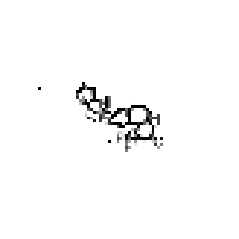 Cc1ncccc1NC(=O)c1ccc2c(c1)CCC[C@H]1CC(=O)CC[C@@]21CC(F)(F)F